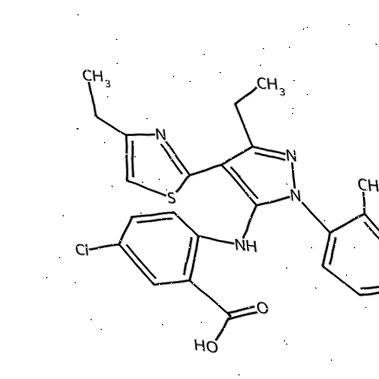 CCc1csc(-c2c(CC)nn(-c3ccccc3C)c2Nc2ccc(Cl)cc2C(=O)O)n1